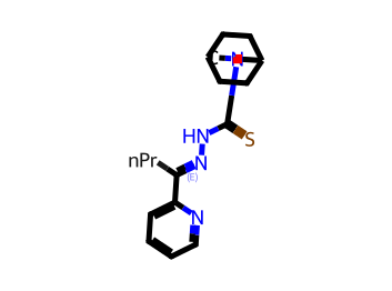 CCC/C(=N\NC(=S)N1CC2CCC(CC2)C1)c1ccccn1